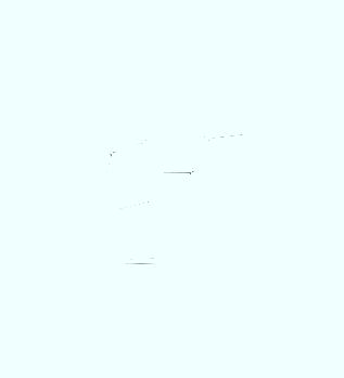 CC(C)NC(=O)c1c(Cl)c(=O)oc2ccccc12